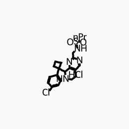 CCCS(=O)(=O)NCc1ncc2c(n1)C(C1(c3ccc(Cl)cc3)CCC1)NCC2.Cl